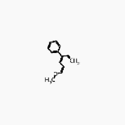 C=C/C(=C\C=C/OC)c1ccccc1